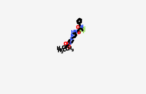 CC(C)(C)[C@@H](O)C(=O)N1CCN(c2ccc(NC(=O)c3oc(-c4ccccc4)nc3C(F)(F)F)cn2)CC1